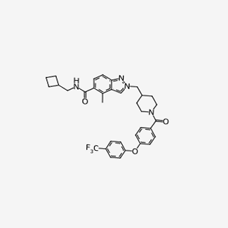 Cc1c(C(=O)NCC2CCC2)ccc2nn(CC3CCN(C(=O)c4ccc(Oc5ccc(C(F)(F)F)cc5)cc4)CC3)cc12